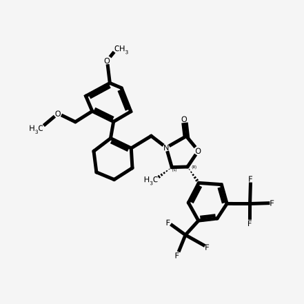 COCc1cc(OC)ccc1C1=C(CN2C(=O)O[C@H](c3cc(C(F)(F)F)cc(C(F)(F)F)c3)[C@@H]2C)CCCC1